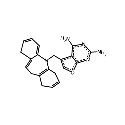 Nc1nc(N)c2c(CN3C4=CC=CCC4=CCC4=C3CC=CC4)coc2n1